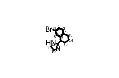 Brc1ccc2c(c1)C(C1=NCCN1)CCC2